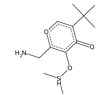 C[SiH](C)Oc1c(CN)occ(C(C)(C)C)c1=O